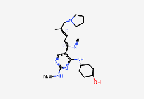 C=N/C(=C\C=C(/C)CN1CCCC1)c1cnc(NCCCC)nc1N[C@H]1CC[C@H](O)CC1